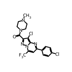 CN1CCN(C(=O)c2nn3c(C(F)(F)F)cc(-c4ccc(Cl)cc4)nc3c2Cl)CC1